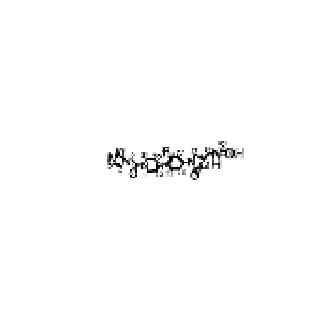 O=C(Cn1ccnn1)N1CCN(c2ccc(N3CC(CNC(O)=S)OC3=O)cc2F)CC1